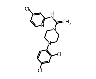 C=C(Nc1cc(Cl)ccn1)N1CCN(c2ccc(Cl)cc2Cl)CC1